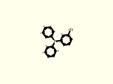 CCc1cccc(P(c2ccccc2)c2ccccc2)c1